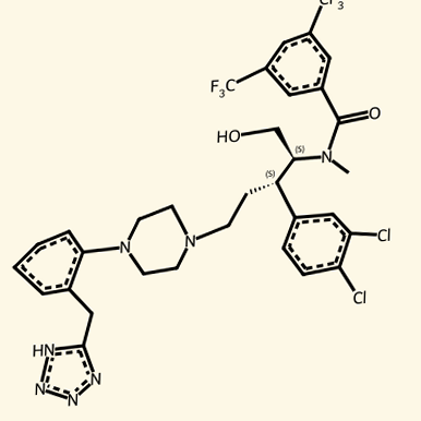 CN(C(=O)c1cc(C(F)(F)F)cc(C(F)(F)F)c1)[C@H](CO)[C@@H](CCN1CCN(c2ccccc2Cc2nnn[nH]2)CC1)c1ccc(Cl)c(Cl)c1